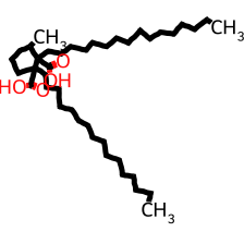 CCCCCCCCCCCCCCCCC1(C(=O)O)CCCC(C)C1(CCCCCCCCCCCCCCCC)C(=O)O